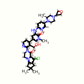 C[C@H]1CN(C2COC2)CCN1c1ccc(Nc2cc(-c3ccnc(N4CCn5c6c(c(Cl)c5C4=O)CC(C)(C)C6)c3CO)cn(C)c2=O)nc1